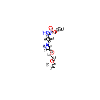 CC(C)(C)OC(=O)NC12CC(n3cc(OCCOCC(F)(F)F)cn3)(C1)C2